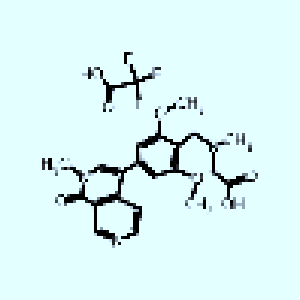 COc1cc(-c2cn(C)c(=O)c3cnccc23)cc(OC)c1CN(C)CC(=O)O.O=C(O)C(F)(F)F